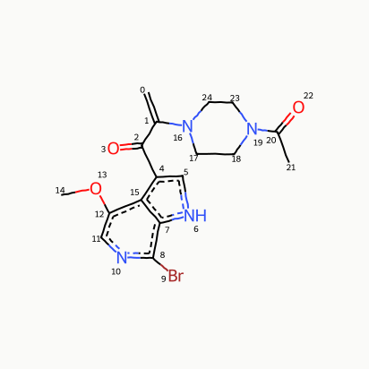 C=C(C(=O)c1c[nH]c2c(Br)ncc(OC)c12)N1CCN(C(C)=O)CC1